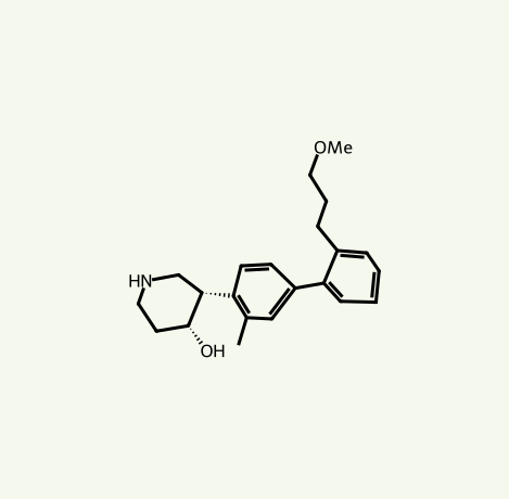 COCCCc1ccccc1-c1ccc([C@H]2CNCC[C@H]2O)c(C)c1